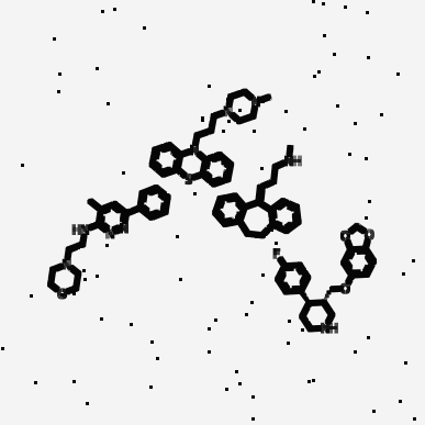 CN1CCN(CCCN2c3ccccc3Sc3ccccc32)CC1.CNCCC=C1c2ccccc2CCc2ccccc21.Cc1cc(-c2ccccc2)nnc1NCCN1CCOCC1.Fc1ccc([C@@H]2CCNC[C@H]2COc2ccc3c(c2)OCO3)cc1